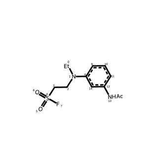 CCN(CCS(=O)(=O)F)c1cccc(NC(C)=O)c1